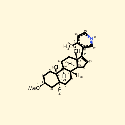 CO[C@H]1CC[C@@]2(C)[C@@H](CC[C@@H]3[C@@H]2CC[C@]2(C)C(c4cnccc4C)=CC[C@@H]32)C1